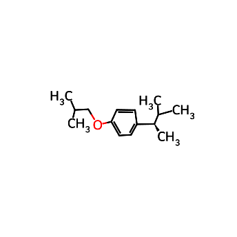 CC(C)COc1ccc([C@H](C)C(C)C)cc1